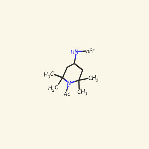 CCCNC1CC(C)(C)N(C(C)=O)C(C)(C)C1